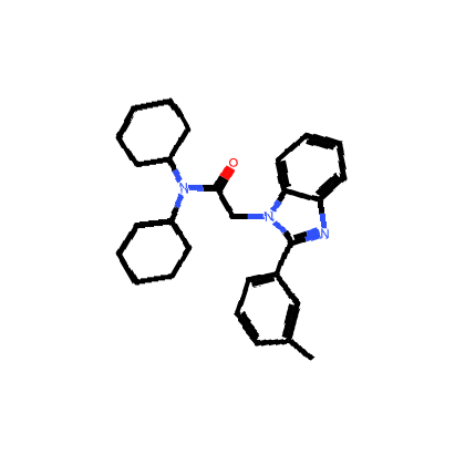 Cc1cccc(-c2nc3ccccc3n2CC(=O)N(C2CCCCC2)C2CCCCC2)c1